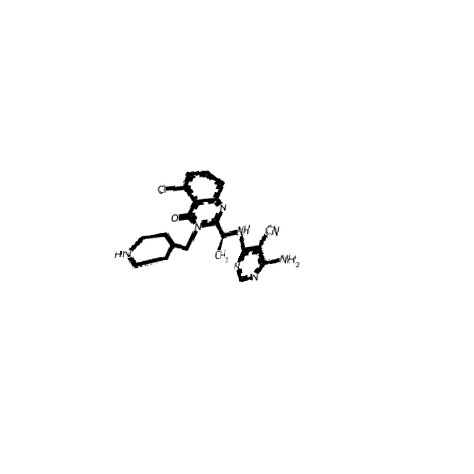 C[C@H](Nc1ncnc(N)c1C#N)c1nc2cccc(Cl)c2c(=O)n1CC1CCNCC1